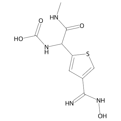 CNC(=O)C(NC(=O)O)c1cc(C(=N)NO)cs1